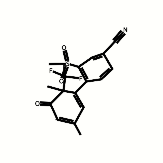 CC1=[C]C(=O)C(C)(C(F)(F)F)C(c2ccc(C#N)cc2S(C)(=O)=O)=C1